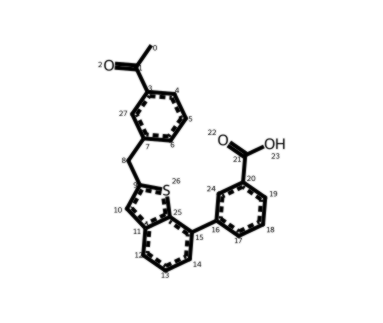 CC(=O)c1cccc(Cc2cc3cccc(-c4cccc(C(=O)O)c4)c3s2)c1